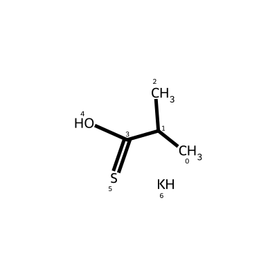 CC(C)C(O)=S.[KH]